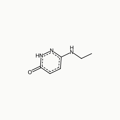 CCNc1ccc(=O)[nH]n1